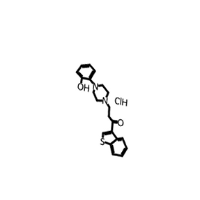 Cl.O=C(CCN1CCN(c2ccccc2O)CC1)c1csc2ccccc12